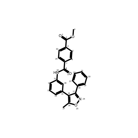 COC(=O)c1ccc(C(=O)Nc2cccc(-c3c(-c4ccccc4)noc3C)c2)cc1